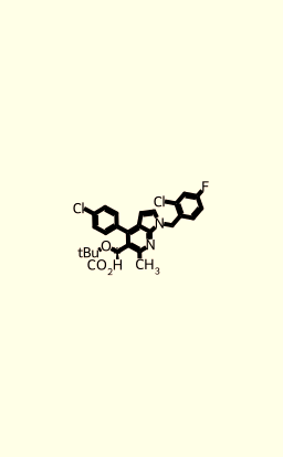 Cc1nc2c(ccn2Cc2ccc(F)cc2Cl)c(-c2ccc(Cl)cc2)c1[C@H](OC(C)(C)C)C(=O)O